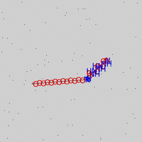 C=NOCC(=O)NCC(=O)NCC(=O)NCC(=O)NCCNC(=O)OCc1cn(CCOCCOCCOCCOCCOCCOCCOCCOCCOCCOCCOCCOCCOCCC)nn1